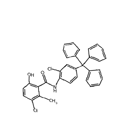 Cc1c(Cl)ccc(O)c1C(=O)Nc1ccc(C(c2ccccc2)(c2ccccc2)c2ccccc2)cc1Cl